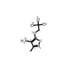 Cc1nsc(OCC(Cl)(Cl)Cl)c1N